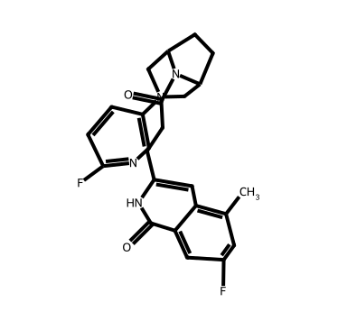 Cc1cc(F)cc2c(=O)[nH]c(CCC(=O)N3C4CCC3CN(c3ccc(F)nc3)C4)cc12